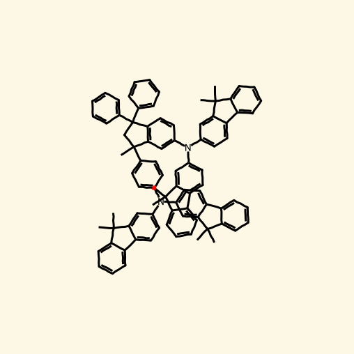 CC1(C)c2ccccc2-c2ccc(N(c3ccc(C4(C)CC(c5ccccc5)(c5ccccc5)c5ccc(N(c6ccc7c(c6)C(C)(C)c6ccccc6-7)c6ccc7c(c6)C(C)(C)c6ccccc6-7)cc54)cc3)c3ccc4c(c3)C(C)(C)c3ccccc3-4)cc21